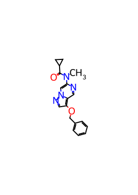 CN(C(=O)C1CC1)c1cn2ncc(OCc3ccccc3)c2cn1